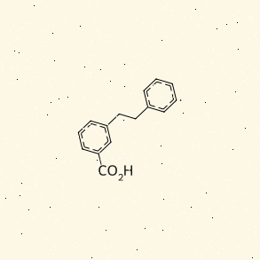 O=C(O)c1cccc(CCc2c[c]ccc2)c1